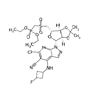 CCOP(=O)(CS(=O)(=O)C[C@H]1O[C@@H](n2ncc3c(NC4CC(F)C4)c(C#N)c(Cl)nc32)[C@@H]2OC(C)(C)O[C@@H]21)OCC